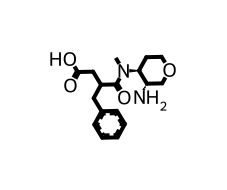 CN(C(=O)C(CC(=O)O)Cc1ccccc1)[C@H]1CCOC[C@@H]1N